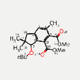 CCCCOC1c2c(cc(C)c(C(=O)OC)c2C(=O)OC)CC1(C)C